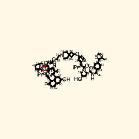 Cc1ncsc1-c1ccc([C@H](C)NC(=O)[C@@H]2C[C@@H](O)CN2C(=O)[C@H](c2cc(OC3CC4(CCN(CCOc5nc(N6CC7CCC(C6)N7C(=O)OC(C)(C)C)c6cnc(-c7cc(O)cc8ccc(F)c(C#C[Si](C(C)C)(C(C)C)C(C)C)c78)c(F)c6n5)CC4)C3)no2)C(C)C)cc1